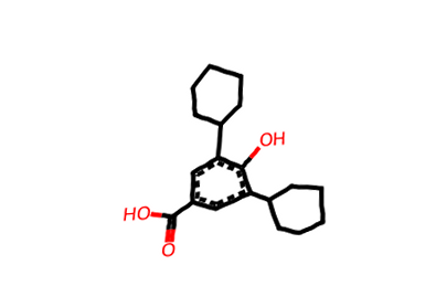 O=C(O)c1cc(C2CCCCC2)c(O)c(C2CCCCC2)c1